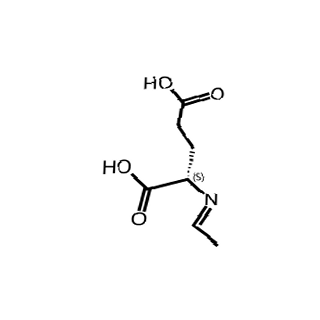 CC=N[C@@H](CCC(=O)O)C(=O)O